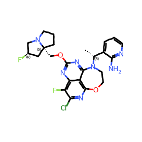 C[C@H](c1cccnc1N)N1CCOc2nc(Cl)c(F)c3nc(OC[C@@]45CCCN4C[C@H](F)C5)nc1c23